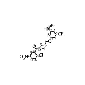 CCCNc1cc(C(F)(F)F)cc(OCCCNC(=O)c2cc([N+](=O)[O-])ccc2Cl)n1